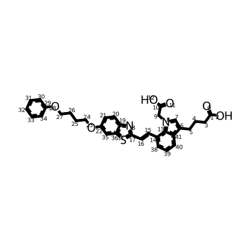 O=C(O)CCCc1cn(CC(=O)O)c2c(C=Cc3nc4ccc(OCCCCOc5ccccc5)cc4s3)cccc12